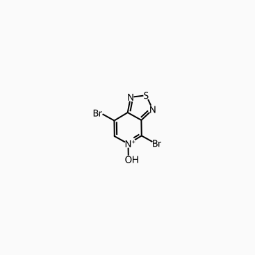 O[n+]1cc(Br)c2nsnc2c1Br